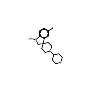 CC(=O)N1CC2(CCN(C3CCSCC3)CC2)c2cc(F)ccc21